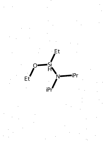 CCO[SiH](CC)N(C(C)C)C(C)C